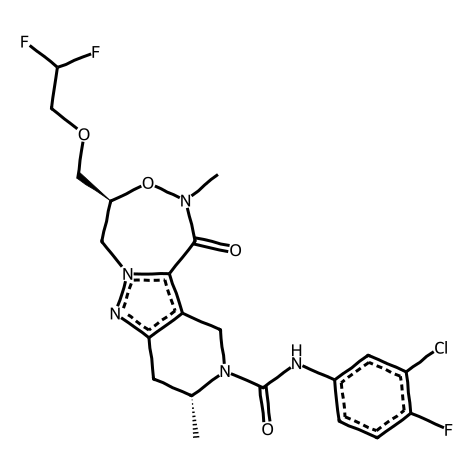 C[C@@H]1Cc2nn3c(c2CN1C(=O)Nc1ccc(F)c(Cl)c1)C(=O)N(C)O[C@H](COCC(F)F)C3